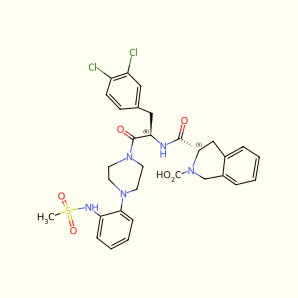 CS(=O)(=O)Nc1ccccc1N1CCN(C(=O)[C@@H](Cc2ccc(Cl)c(Cl)c2)NC(=O)[C@@H]2Cc3ccccc3CN2C(=O)O)CC1